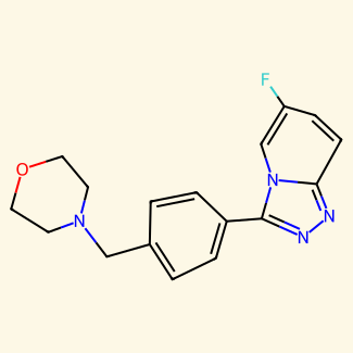 Fc1ccc2nnc(-c3ccc(CN4CCOCC4)cc3)n2c1